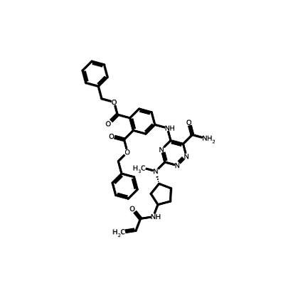 C=CC(=O)NC1CC[C@@H](N(C)c2nnc(C(N)=O)c(Nc3ccc(C(=O)OCc4ccccc4)c(C(=O)OCc4ccccc4)c3)n2)C1